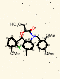 COc1ccc(CN2C(=O)C(CC(=O)O)OC(c3cccc(OC)c3Cl)c3cc(C)ccc32)c(OC)c1